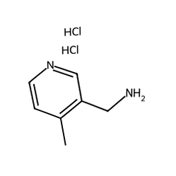 Cc1ccncc1CN.Cl.Cl